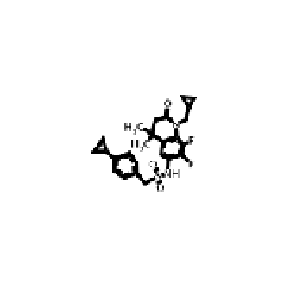 CC1(C)CC(=O)N(CC2CC2)c2c1cc(NS(=O)(=O)Cc1ccc(C3CC3)cc1)c(F)c2F